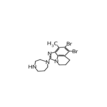 Cc1c(Br)c(Br)c2c3c1nc(N1CCCNCC1)n3CCC2